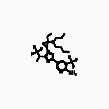 C=CCCN(CCC)C1(CC)CC1n1cc(-c2cnc(N)c(C(F)(F)F)c2)nc1C(C)C(F)(F)F